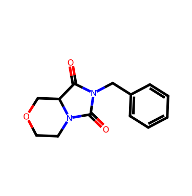 O=C1C2COCCN2C(=O)N1Cc1ccccc1